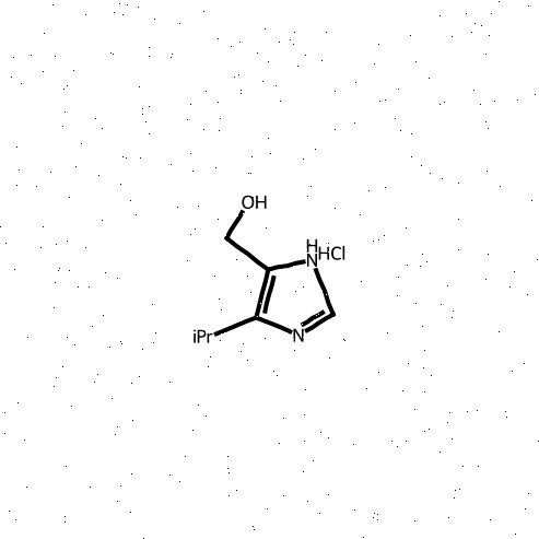 CC(C)c1nc[nH]c1CO.Cl